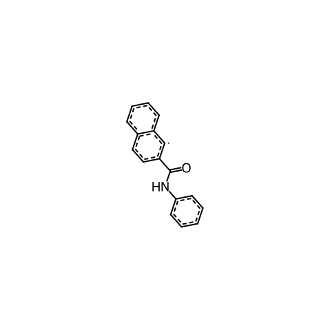 O=C(Nc1ccccc1)c1[c]c2ccccc2cc1